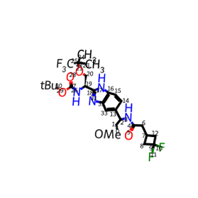 COCC(NC(=O)CC1CC(F)(F)C1)c1ccc2[nH]c([C@H](COC(C)(C)C(F)(F)F)NC(=O)OC(C)(C)C)nc2c1